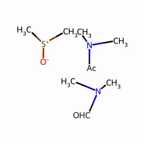 CC(=O)N(C)C.CN(C)C=O.C[S+](C)[O-]